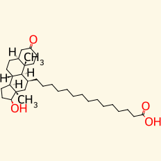 C[C@]12CCC(=O)C[C@@H]1CC[C@@H]1[C@@H]2[C@@H](CCCCCCCCCCCCCCC(=O)O)C[C@]2(C)[C@@H](O)CC[C@@H]12